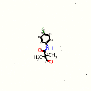 CC(C)(C=O)C(=O)Nc1ccc(Cl)cc1